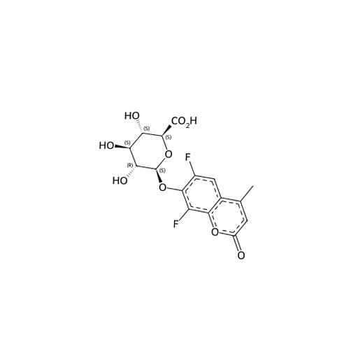 Cc1cc(=O)oc2c(F)c(O[C@@H]3O[C@H](C(=O)O)[C@@H](O)[C@H](O)[C@H]3O)c(F)cc12